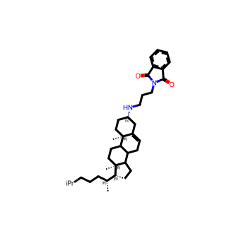 CC(C)CCC[C@@H](C)[C@H]1CCC2C3CC=C4C[C@@H](NCCCN5C(=O)c6ccccc6C5=O)CC[C@]4(C)C3CC[C@@]21C